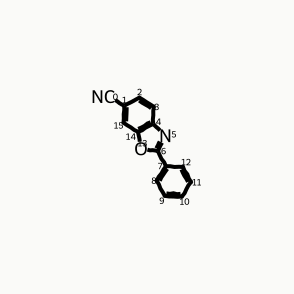 N#Cc1ccc2nc(-c3ccccc3)oc2c1